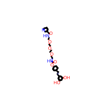 O=C(NCCOCCOCCOCCNC(=O)c1cccnc1)Oc1ccc(/C=C/c2cc(O)cc(O)c2)cc1